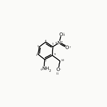 Nc1cccc([N+](=O)[O-])c1C[O]